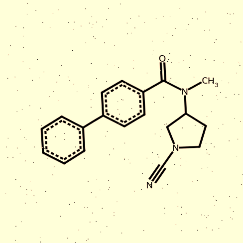 CN(C(=O)c1ccc(-c2ccccc2)cc1)C1CCN(C#N)C1